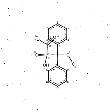 COC(c1ccccc1)(c1ccccc1)[C@](C)(O)C(=O)O